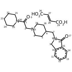 O=C(CN1CCC(CN2Cc3ccccc3C2=O)CC1)N1CCCCC1.O=C(O)/C=C/C(=O)O